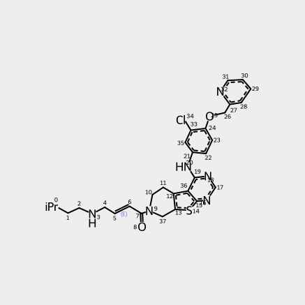 CC(C)CCNC/C=C/C(=O)N1CCc2c(sc3ncnc(Nc4ccc(OCc5ccccn5)c(Cl)c4)c23)C1